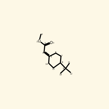 COC(=O)C=C1CCC(C(C)(C)C)CC1